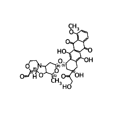 COc1cccc2c1C(=O)c1c(O)c3c(c(O)c1C2=O)C[C@@](O)(C(=O)CO)C[C@@H]3O[C@H]1CC2C(O[C@@H]3[C@@H](C=O)OCCN23)[C@H](C)O1